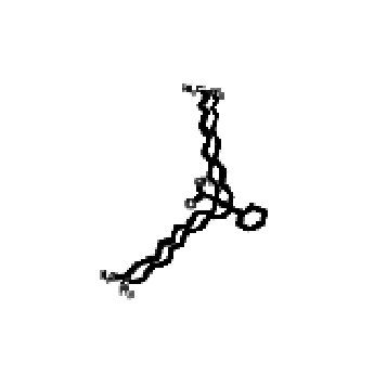 CCCCCCCCCCC(CCCCCCCCCC)(C(=O)O)C(CCCCCCCCCC)(CCCCCCCCCC)C1CCCCC1